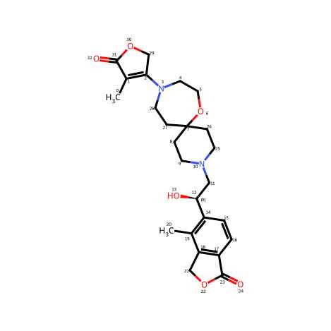 CC1=C(N2CCOC3(CCN(C[C@H](O)c4ccc5c(c4C)COC5=O)CC3)CC2)COC1=O